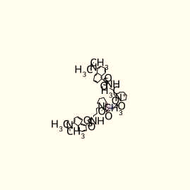 CC1CCCC[N+]1(CCCNS(=O)(=O)c1cccc2c(N(C)C)cccc12)OC(=O)/C=C/C(=O)O[N+]1(CCCNS(=O)(=O)c2cccc3c(N(C)C)cccc23)CCCCC1C